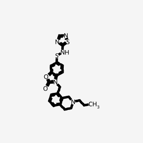 CCCN1CCc2cccc(Cn3c(=O)oc4cc(SNc5ncns5)ccc43)c2C1